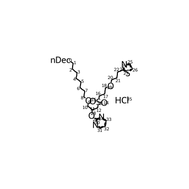 CCCCCCCCCCCCCCCCCCOCC(CS(=O)(=O)CCCOCCCc1nccs1)Oc1ncccn1.Cl